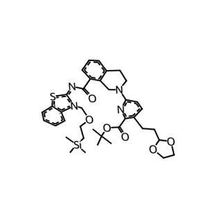 CC(C)(C)OC(=O)c1nc(N2CCc3cccc(C(=O)N=c4sc5ccccc5n4COCC[Si](C)(C)C)c3C2)ccc1CCC1OCCO1